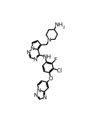 NC1CCN(Cc2ccn3ncnc(Nc4ccc(Oc5ccn6ncnc6c5)c(Cl)c4F)c23)CC1